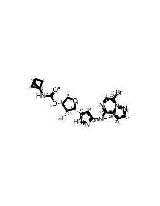 O=C(NC12CC(C1)C2)O[C@@H]1CO[C@H](c2cc(Nc3ncc(Br)n4nccc34)n[nH]2)[C@@H]1F